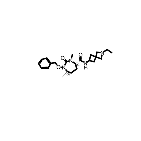 CCN1CC2(CC(NC(=O)[C@@H]3CC[C@H](C)N(OCc4ccccc4)C(=O)N3C)C2)C1